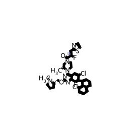 C[C@H]1CN(C(=O)/C(F)=C/c2nccs2)CCN1c1nc(OC[C@@H]2CCCN2C)nc2c(F)c(-c3cccc4cccc(Cl)c34)c(Cl)cc12